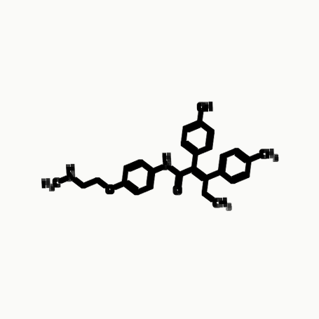 CC/C(=C(\C(=O)Nc1ccc(OCCNC)cc1)c1ccc(O)cc1)c1ccc(C)cc1